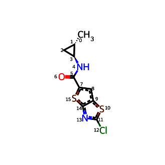 C[C@H]1C[C@@H]1NC(=O)c1cc2sc(Cl)nc2s1